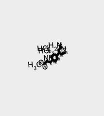 COC(=O)[C@@H](N)Cc1ccc(-c2ccnc(N)c2)cc1.Cl.Cl